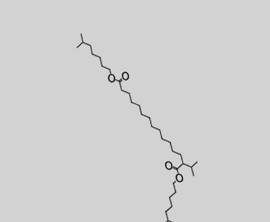 CC(C)CCCCCOC(=O)CCCCCCCCCCCCC(C(=O)OCCCCCC(C)C)C(C)C